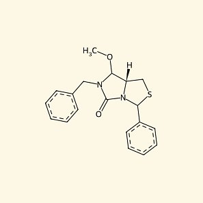 COC1[C@@H]2CSC(c3ccccc3)N2C(=O)N1Cc1ccccc1